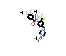 Cc1ccc(C(=O)Nc2ccc(CN3CCN(C)CC3)cc2C(F)(F)F)cc1C